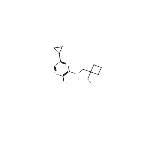 N#Cc1ncc(C2CC2)nc1NCC1(CO)CCC1